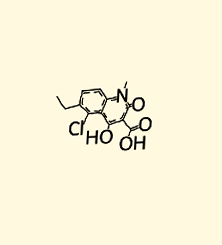 CCc1ccc2c(c(O)c(C(=O)O)c(=O)n2C)c1Cl